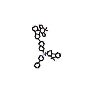 CC1(C)c2ccccc2-c2ccc(N(c3ccc(-c4ccccc4)cc3)c3ccc4cc(-c5ccc6c(c5)C5(c7ccccc7-6)c6ccccc6C(C)(C)c6ccccc65)ccc4c3)cc21